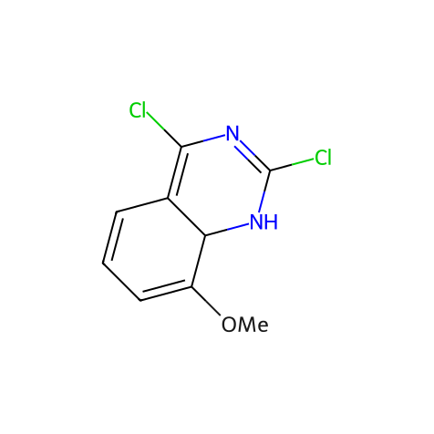 COC1=CC=CC2=C(Cl)N=C(Cl)NC12